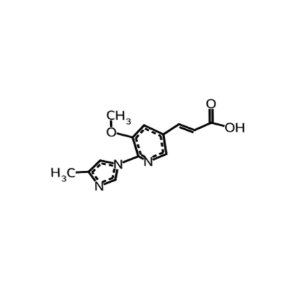 COc1cc(C=CC(=O)O)cnc1-n1cnc(C)c1